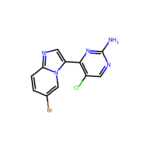 Nc1ncc(Cl)c(-c2cnc3ccc(Br)cn23)n1